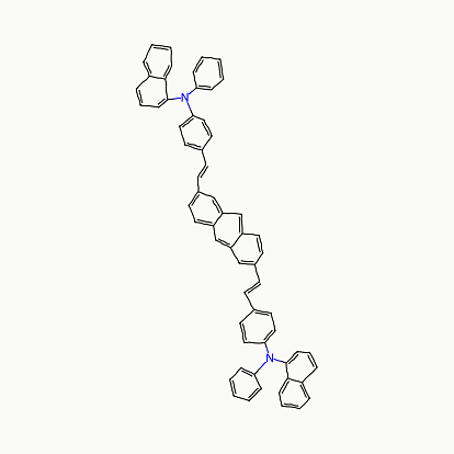 C(=Cc1ccc2cc3cc(C=Cc4ccc(N(c5ccccc5)c5cccc6ccccc56)cc4)ccc3cc2c1)c1ccc(N(c2ccccc2)c2cccc3ccccc23)cc1